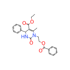 CCOC(=O)C1=C(C)N(CCOC(=O)c2ccccc2)C(=O)NC1c1ccccc1